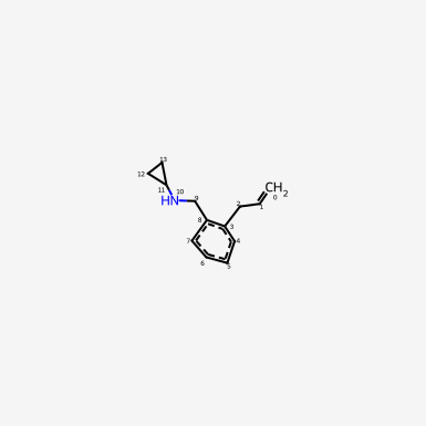 C=CCc1ccccc1CNC1CC1